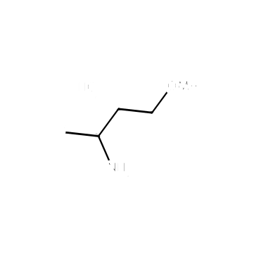 COCCC(C)N.Cl